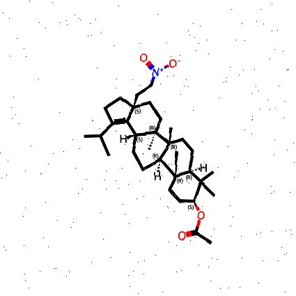 CC(=O)O[C@H]1CC[C@]2(C)[C@H]3CC[C@@H]4C5=C(C(C)C)CC[C@]5(CC[N+](=O)[O-])CC[C@@]4(C)[C@]3(C)CC[C@H]2C1(C)C